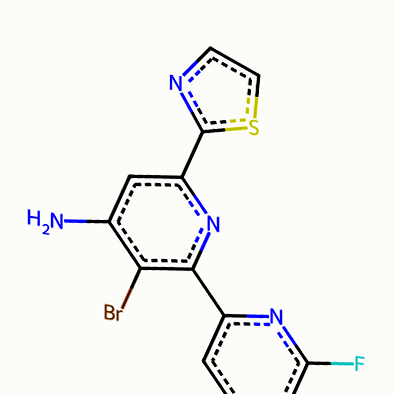 Nc1cc(-c2nccs2)nc(-c2cccc(F)n2)c1Br